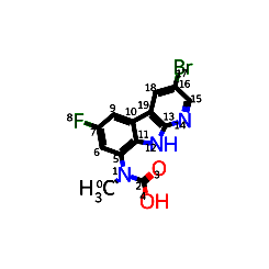 CN(C(=O)O)c1cc(F)cc2c1[nH]c1ncc(Br)cc12